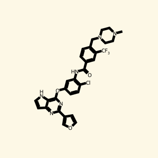 CN1CCN(Cc2ccc(C(=O)Nc3cc(Oc4nc(-c5ccoc5)nc5cc[nH]c45)ccc3Cl)cc2C(F)(F)F)CC1